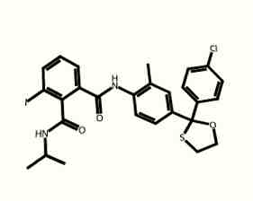 Cc1cc(C2(c3ccc(Cl)cc3)OCCS2)ccc1NC(=O)c1cccc(I)c1C(=O)NC(C)C